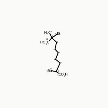 CCC(C)(CCCCCC(C(=O)O)C(C)(C)C)C(=O)O